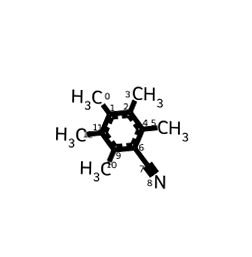 Cc1c(C)c(C)c(C#N)c(C)c1C